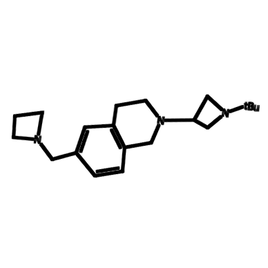 CC(C)(C)N1CC(N2CCc3cc(CN4CCC4)ccc3C2)C1